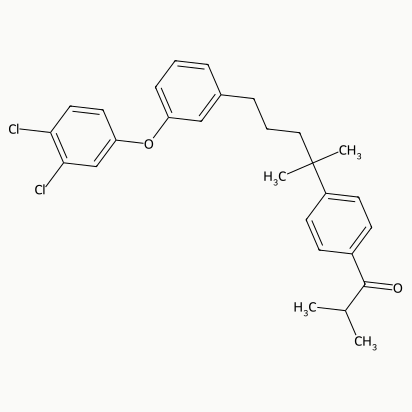 CC(C)C(=O)c1ccc(C(C)(C)CCCc2cccc(Oc3ccc(Cl)c(Cl)c3)c2)cc1